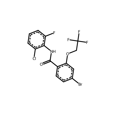 O=C(Nc1c(F)cccc1Cl)c1ccc(Br)cc1OCC(F)(F)F